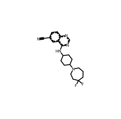 N#Cc1ccc2ncnc(NC3CCC(N4CCCC(F)(F)CC4)CC3)c2c1